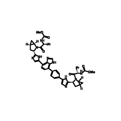 COC(=O)N[C@H](C(=O)N1[C@@H]2C[C@@H]2C[C@H]1c1ncc(-c2ccc(-c3ccc(-c4cnc([C@@H]5C[C@H]6C[C@H]6N5C(=O)[C@@H](NC(=O)OC)C(C)C)[nH]4)c4nc[nH]c34)cc2)[nH]1)C(C)C